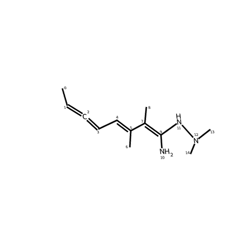 CC=C=C/C=C(C)/C(C)=C(\N)NN(C)C